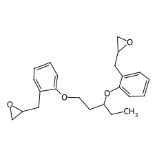 CCC(CCOc1ccccc1CC1CO1)Oc1ccccc1CC1CO1